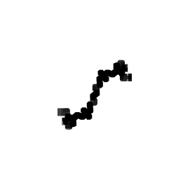 CC(C)(CCOCCOCCC(C)(C)CCc1conc1O)CCc1conc1O